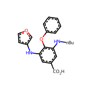 CCCCNc1cc(C(=O)O)cc(Nc2ccoc2)c1Oc1ccccc1